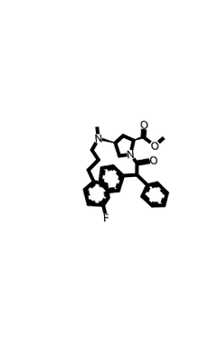 COC(=O)[C@@H]1C[C@H](N(C)CCCc2ccc(F)cc2)CN1C(=O)C(c1ccccc1)c1ccccc1